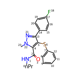 CCCNC(=O)c1c(Sc2ccccc2)c(-c2ccc(F)cc2)nn1C